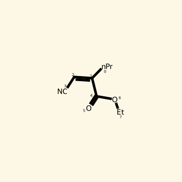 CCCC(=CC#N)C(=O)OCC